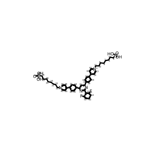 O=P(O)(O)CCCCCCCC[n+]1ccc(-c2ccc(-c3cc(-c4ccc(-c5cc[n+](CCCCCCCCP(=O)(O)O)cc5)cc4)nc(-c4c(F)cccc4F)n3)cc2)cc1